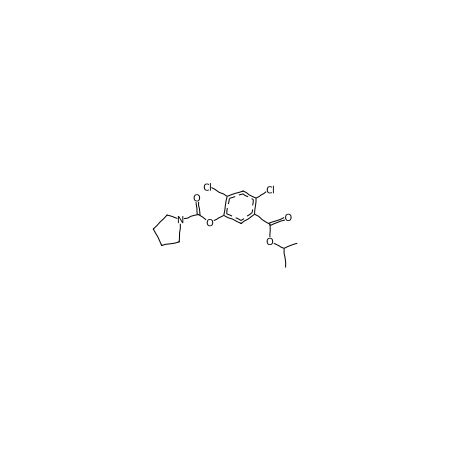 CC(C)OC(=O)c1cc(OC(=O)N2CCCC2)c(Cl)cc1Cl